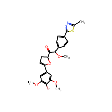 COc1cc(C2=CCC(C(=O)C(OC)c3ccc(-c4nnc(C)s4)cc3)O2)cc(OC)c1Br